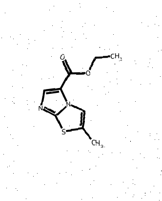 CCOC(=O)c1cnc2sc(C)cn12